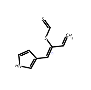 C=C/C(=C/c1cc[nH]c1)SC=S